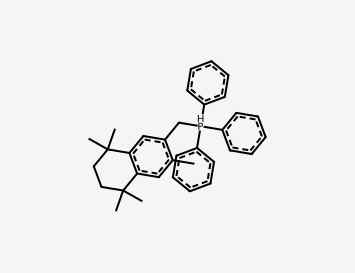 Cc1cc2c(cc1C[PH](c1ccccc1)(c1ccccc1)c1ccccc1)C(C)(C)CCC2(C)C